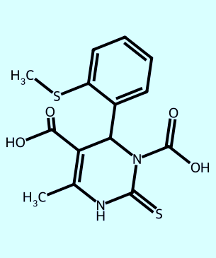 CSc1ccccc1C1C(C(=O)O)=C(C)NC(=S)N1C(=O)O